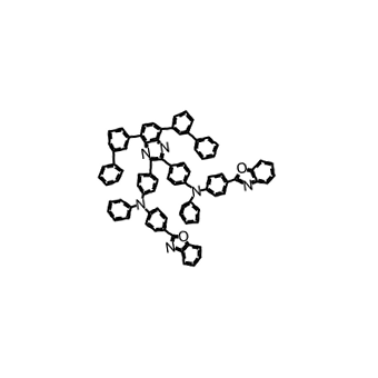 c1ccc(-c2cccc(-c3ccc(-c4cccc(-c5ccccc5)c4)c4nc(-c5ccc(N(c6ccccc6)c6ccc(-c7nc8ccccc8o7)cc6)cc5)c(-c5ccc(N(c6ccccc6)c6ccc(-c7nc8ccccc8o7)cc6)cc5)nc34)c2)cc1